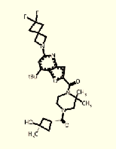 CC(C)(C)c1cc(N2CC3(C2)CC(F)(F)C3)nc2cc(C(=O)N3CCN(C(=O)[C@H]4C[C@](C)(O)C4)CC3(C)C)oc12